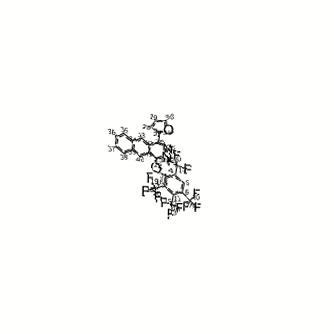 FC(F)(F)c1cc(C(F)(F)F)c(C(F)(F)F)c(C(F)(F)F)c1Oc1nnc(-c2ccco2)c2cc3ccccc3cc12